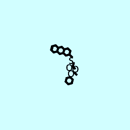 CC(OC(=O)CSCC1CCC2CC3CC=CCC3CC2C1)OC1CCCCC1